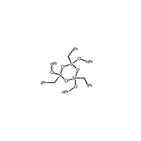 CCCO[Si]1(CC(C)C)O[Si](CC(C)C)(OCCC)O[Si](CC(C)C)(OCCC)O1